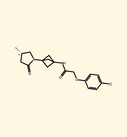 C[C@H]1CC(=O)N(C23CC(NC(=O)COc4ccc(Cl)cc4)(C2)C3)C1